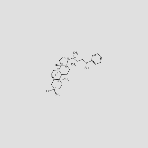 C[C@H](CCC(O)c1ccccc1)[C@H]1CC[C@H]2[C@@H]3CC=C4C[C@@](C)(O)CC[C@]4(C)C3CC[C@]12C